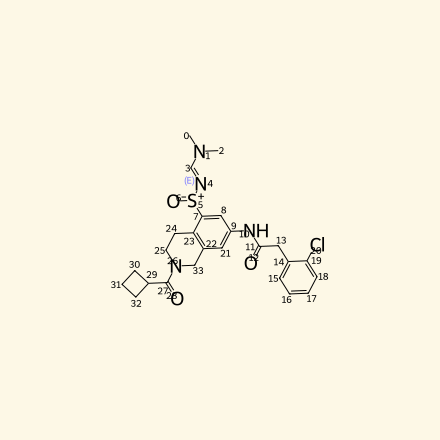 CN(C)/C=N/[S+]([O-])c1cc(NC(=O)Cc2ccccc2Cl)cc2c1CCN(C(=O)C1CCC1)C2